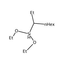 CCCCCCC(CC)[SiH](OCC)OCC